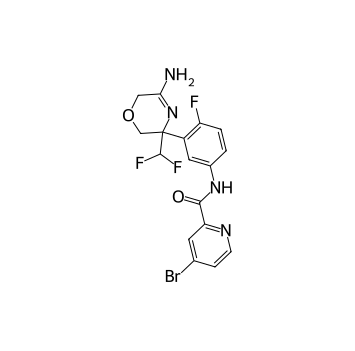 NC1=NC(c2cc(NC(=O)c3cc(Br)ccn3)ccc2F)(C(F)F)COC1